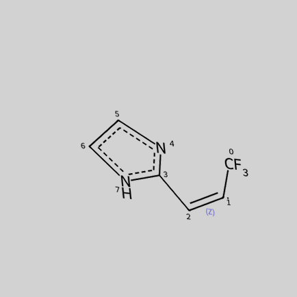 FC(F)(F)/[C]=C\c1ncc[nH]1